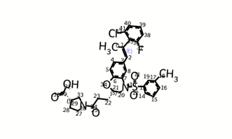 C/C(=C\c1ccc2c(c1)N(S(=O)(=O)c1cccc(C)c1)C[C@H](CCC(=O)N1CC[C@H](C(=O)O)C1)O2)c1c(F)cccc1Cl